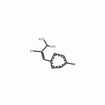 CCC(=Cc1ccc(F)cc1)C(OC(C)=O)OC(C)=O